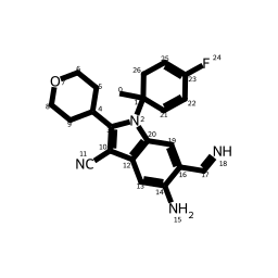 CC1(n2c(C3CCOCC3)c(C#N)c3cc(N)c(C=N)cc32)C=CC(F)=CC1